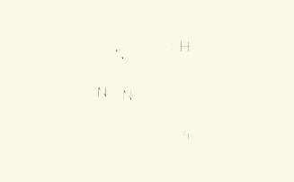 Cc1cc(Br)cn2ncnc12